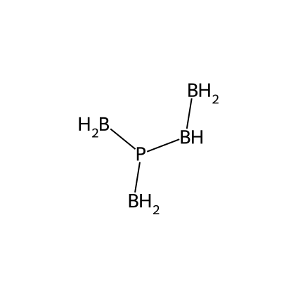 BBP(B)B